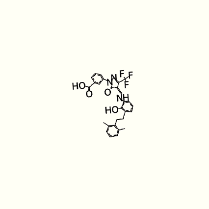 Cc1cccc(C)c1CCc1cccc(N/C=C2\C(=O)N(c3cccc(C(=O)O)c3)N=C2C(F)(F)F)c1O